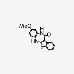 COc1ccc2c(c1)NC(=O)c1c(sc3ccccc13)N2